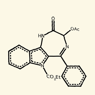 CCOC(=O)n1c2c(c3ccccc31)NC(=O)C(OC(C)=O)N=C2c1ccccc1